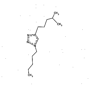 CCCCCn1cc(CCCC(C)C)nn1